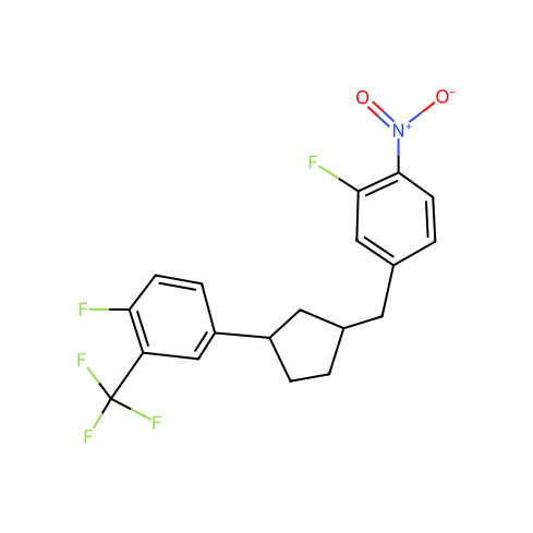 O=[N+]([O-])c1ccc(CC2CCC(c3ccc(F)c(C(F)(F)F)c3)C2)cc1F